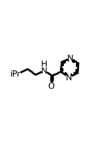 CC(C)CCNC(=O)c1cnccn1